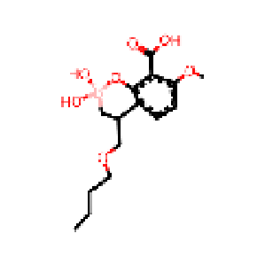 CCCCOCC1C[B-](O)(O)Oc2c1ccc(OC)c2C(=O)O